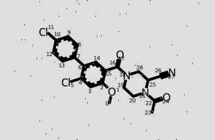 COc1cc(Cl)c(-c2ccc(Cl)cc2)cc1C(=O)N1CCN(C(C)=O)C(C#N)C1